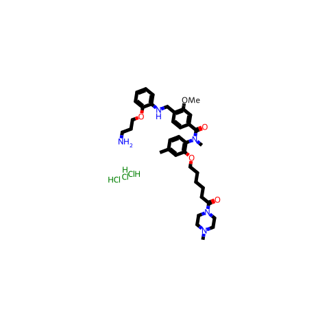 COc1cc(C(=O)N(C)c2ccc(C)cc2OCCCCCC(=O)N2CCN(C)CC2)ccc1CNc1ccccc1OCCCN.Cl.Cl.Cl